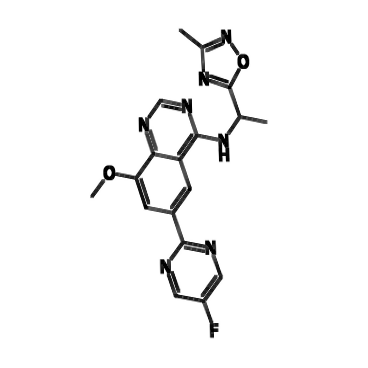 COc1cc(-c2ncc(F)cn2)cc2c(NC(C)c3nc(C)no3)ncnc12